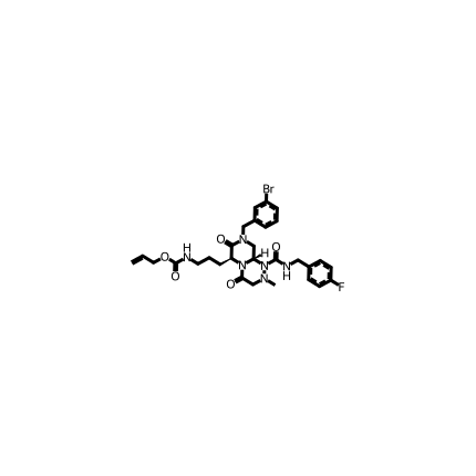 C=CCOC(=O)NCCC[C@H]1C(=O)N(Cc2cccc(Br)c2)C[C@H]2N1C(=O)CN(C)N2C(=O)NCc1ccc(F)cc1